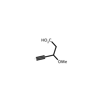 [C]#CC(CC(=O)O)OC